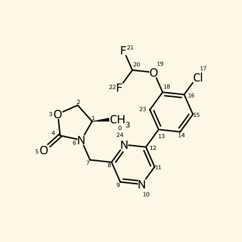 C[C@@H]1COC(=O)N1Cc1cncc(-c2ccc(Cl)c(OC(F)F)c2)n1